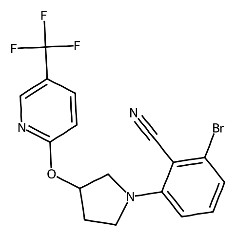 N#Cc1c(Br)cccc1N1CCC(Oc2ccc(C(F)(F)F)cn2)C1